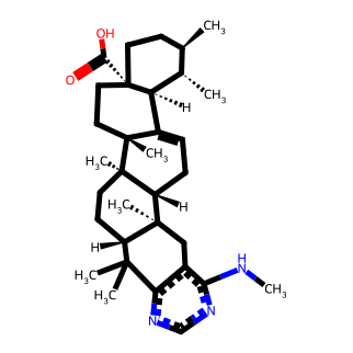 CNc1ncnc2c1C[C@]1(C)[C@H]3CC=C4[C@@H]5[C@@H](C)[C@H](C)CC[C@]5(C(=O)O)CC[C@@]4(C)[C@]3(C)CC[C@H]1C2(C)C